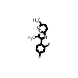 Cc1ccc2nc(-c3ccc(F)cc3F)c(C)n2n1